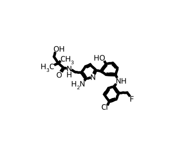 CC(C)(CO)C(=O)NCc1ccc(-c2cc(Nc3ccc(Cl)cc3CF)ccc2O)nc1N